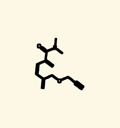 C#CCOCC(=C)/C=C\C(=C)C(=O)N(C)C